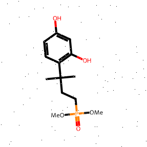 COP(=O)(CCC(C)(C)c1ccc(O)cc1O)OC